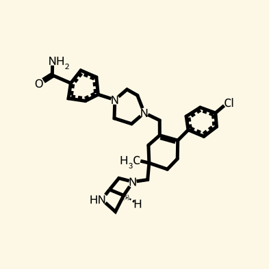 CC1(CN2CC3NC[C@@H]32)CCC(c2ccc(Cl)cc2)=C(CN2CCN(c3ccc(C(N)=O)cc3)CC2)C1